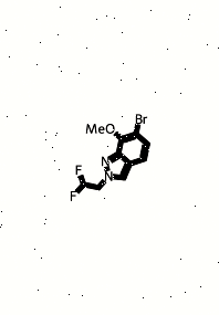 COc1c(Br)ccc2cn(CC(F)F)nc12